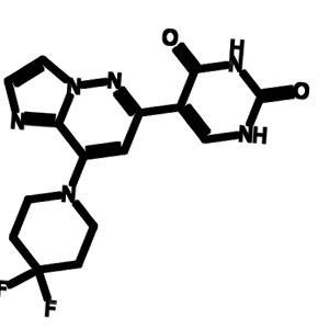 O=c1[nH]cc(-c2cc(N3CCC(F)(F)CC3)c3nccn3n2)c(=O)[nH]1